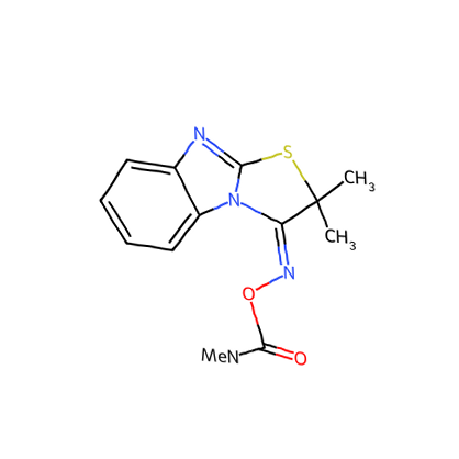 CNC(=O)ON=C1n2c(nc3ccccc32)SC1(C)C